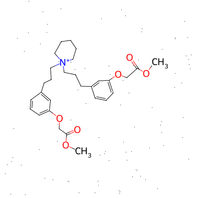 COC(=O)COc1cccc(CCC[N+]2(CCCc3cccc(OCC(=O)OC)c3)CCCCC2)c1